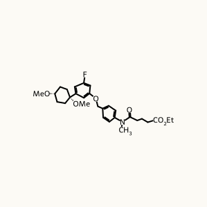 CCOC(=O)CCCC(=O)N(C)c1ccc(COc2cc(F)cc([C@]3(OC)CC[C@@H](OC)CC3)c2)cc1